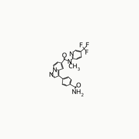 CN(C(=O)c1ccn2ncc(-c3ccc(C(N)=O)cc3)c2c1)c1ccc(C(F)(F)F)cn1